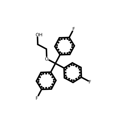 OCCOC(c1ccc(F)cc1)(c1ccc(F)cc1)c1ccc(F)cc1